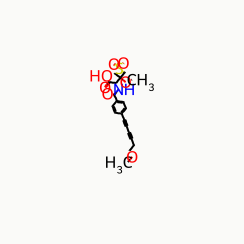 COCCC#CC#Cc1ccc(C(=O)NC(C(=O)O)C2(OC)CS(=O)(=O)C2)cc1